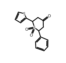 O=C1CC(c2ccccc2)S(=O)(=O)C(c2cccs2)C1